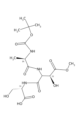 COC(=O)[C@@H](O)C(NC(=O)[C@@H](C)NC(=O)OC(C)(C)C)C(=O)N[C@@H](CO)C(=O)O